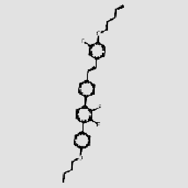 C=CCCCOc1ccc(/C=C/c2ccc(-c3ccc(-c4ccc(OCCCC)cc4)c(F)c3F)cc2)cc1F